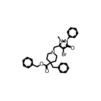 Cn1c(CN2CCC(Cc3ccccc3)(C(=O)OCc3ccccc3)CC2)c(Br)c(=O)n1-c1ccccc1